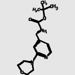 CC(C)(C)OC(=O)NCc1ccnc(N2CCOCC2)c1